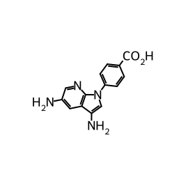 Nc1cnc2c(c1)c(N)cn2-c1ccc(C(=O)O)cc1